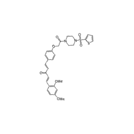 COc1ccc(C=CC(=O)C=Cc2ccc(OCC(=O)N3CCN(S(=O)(=O)c4cccs4)CC3)cc2)c(OC)c1